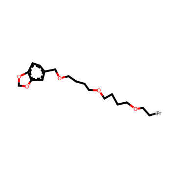 CC(C)CCOCCCCOCCCCOCc1ccc2c(c1)OCO2